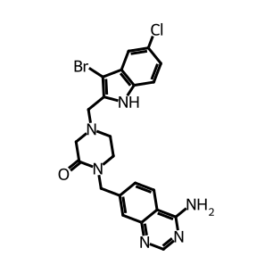 Nc1ncnc2cc(CN3CCN(Cc4[nH]c5ccc(Cl)cc5c4Br)CC3=O)ccc12